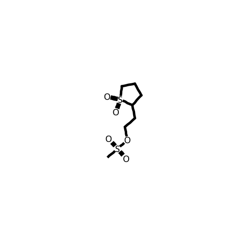 CS(=O)(=O)OCCC1CCCS1(=O)=O